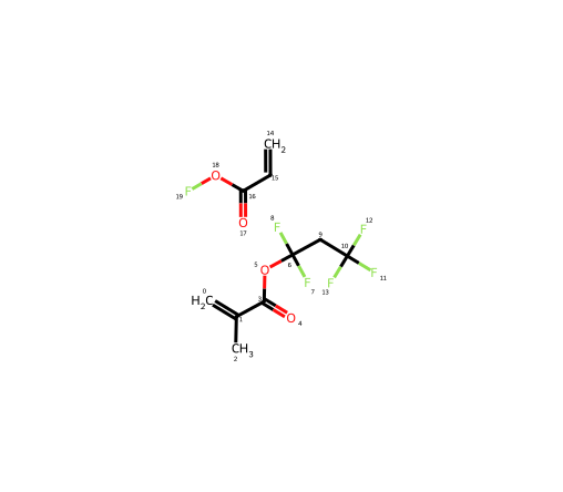 C=C(C)C(=O)OC(F)(F)CC(F)(F)F.C=CC(=O)OF